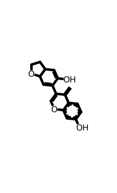 C=C1C(C2=CC3OCCC3C=C2O)=COc2cc(O)ccc21